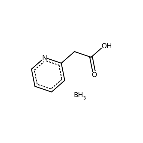 B.O=C(O)Cc1ccccn1